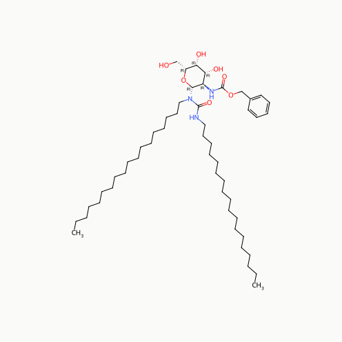 CCCCCCCCCCCCCCCCCCNC(=O)N(CCCCCCCCCCCCCCCCCC)[C@@H]1O[C@H](CO)[C@H](O)[C@H](O)[C@H]1NC(=O)OCc1ccccc1